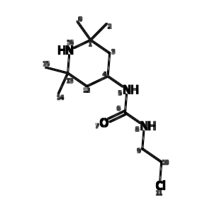 CC1(C)CC(NC(=O)NCCCl)CC(C)(C)N1